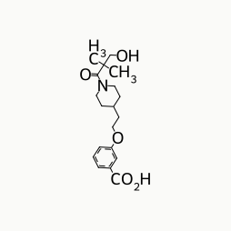 CC(C)(CO)C(=O)N1CCC(CCOc2cccc(C(=O)O)c2)CC1